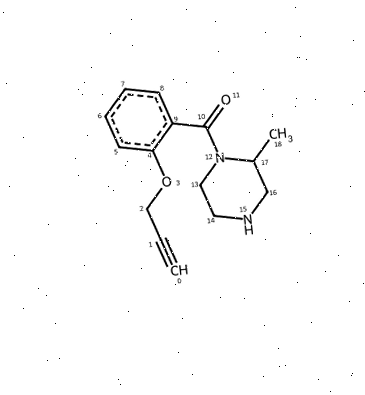 C#CCOc1ccccc1C(=O)N1CCNCC1C